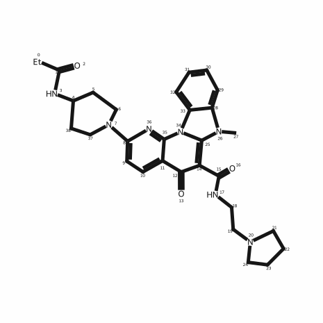 CCC(=O)NC1CCN(c2ccc3c(=O)c(C(=O)NCCN4CCCC4)c4n(C)c5ccccc5n4c3n2)CC1